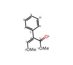 CO/C=C(\C(=O)OC)c1ccccc1